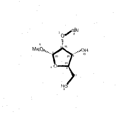 CCCCO[C@H]1[C@@H](OC)O[C@H](CO)[C@H]1O